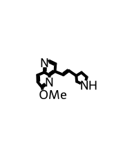 COc1ccc2nccc(/C=C/C3CCNC3)c2n1